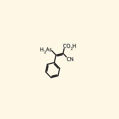 N#C/C(C(=O)O)=C(/[AsH2])c1ccccc1